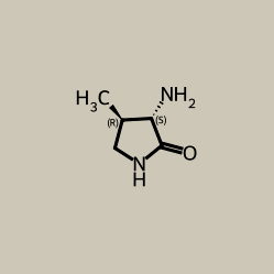 C[C@@H]1CNC(=O)[C@H]1N